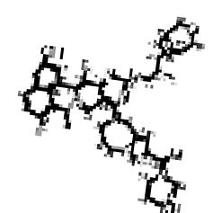 CCc1c(F)ccc2cc(O)cc(-c3ncc4c(N5CCCn6nc(C(=O)N7CCNCC7)cc6C5)nc(OC[C@H](C)CN5C6CCC5COC6)nc4c3F)c12